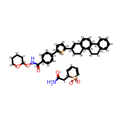 NC(=O)CC1C=CC=CS1(=O)=O.O=C(NOC1CCCCO1)c1ccc(-c2ccc(C3=Cc4ccc5c(c4CC3)CCc3ccccc3-5)s2)cc1